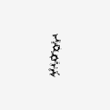 COC1(C(=O)NC(=O)Nc2ccc(Oc3ccnc(NC(=O)C4CC4)c3)cn2)CC1